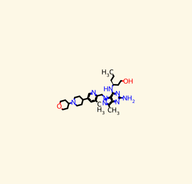 CCC[C@@H](CCO)Nc1nc(N)nc2c(C)nn(Cc3ncc(C4CCN(C5CCOCC5)CC4)cc3C)c12